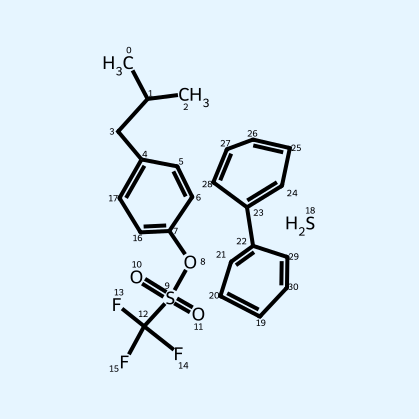 CC(C)Cc1ccc(OS(=O)(=O)C(F)(F)F)cc1.S.c1ccc(-c2ccccc2)cc1